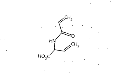 C=CC(=O)NC(C=C)C(=O)O